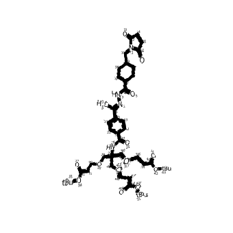 C/C(=N\NC(=O)C1CCC(CN2C(=O)C=CC2=O)CC1)c1ccc(C(=O)NC(COCCC(=O)OC(C)(C)C)(COCCC(=O)OC(C)(C)C)COCCC(=O)OC(C)(C)C)cc1